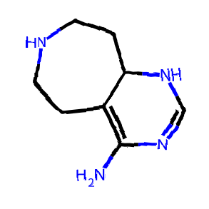 NC1=C2CCNCCC2NC=N1